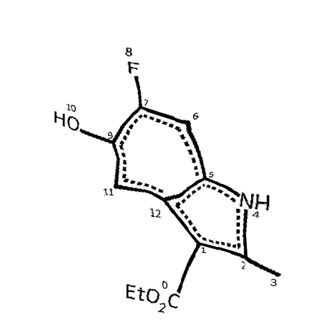 CCOC(=O)c1c(C)[nH]c2cc(F)c(O)cc12